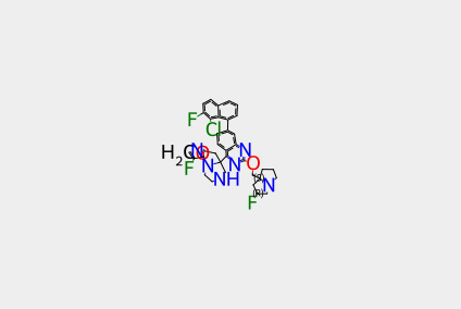 C=C(F)C(=O)N1CCNCC1(CC#N)c1nc(OC[C@@]23CCCN2C[C@H](F)C3)nc2cc(-c3cccc4ccc(F)c(Cl)c34)ccc12